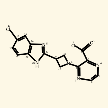 O=C(Cl)c1nccnc1N1CC(c2nc3cc(Cl)ccc3[nH]2)C1